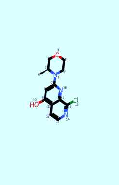 C[C@H]1COCCN1c1cc(O)c2ccnc(Cl)c2n1